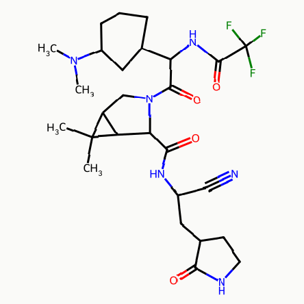 CN(C)C1CCCC(C(NC(=O)C(F)(F)F)C(=O)N2CC3C(C2C(=O)NC(C#N)CC2CCNC2=O)C3(C)C)C1